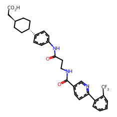 O=C(O)C[C@H]1CC[C@H](c2ccc(NC(=O)CCNC(=O)c3ccc(-c4ccccc4C(F)(F)F)nc3)cc2)CC1